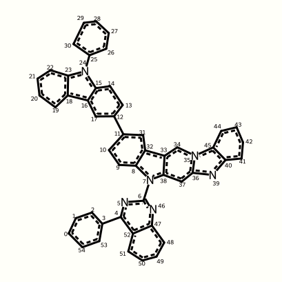 c1ccc(-c2nc(-n3c4ccc(-c5ccc6c(c5)c5ccccc5n6-c5ccccc5)cc4c4cn5c(cc43)nc3ccccc35)nc3ccccc23)cc1